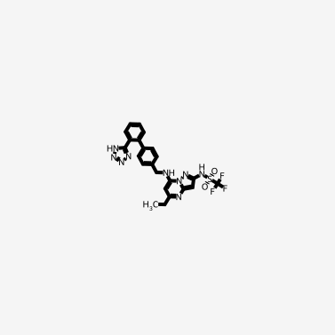 CCc1cc(NCc2ccc(-c3ccccc3-c3nnn[nH]3)cc2)n2nc(NS(=O)(=O)C(F)(F)F)cc2n1